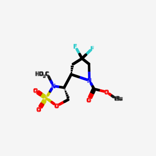 CC(C)(C)OC(=O)N1CC(F)(F)C[C@H]1[C@@H]1COS(=O)(=O)N1C(=O)O